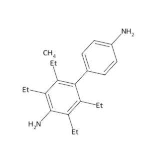 C.CCc1c(N)c(CC)c(CC)c(-c2ccc(N)cc2)c1CC